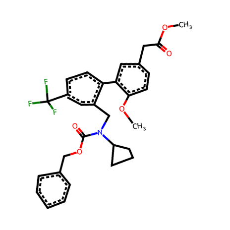 COC(=O)Cc1ccc(OC)c(-c2ccc(C(F)(F)F)cc2CN(C(=O)OCc2ccccc2)C2CCC2)c1